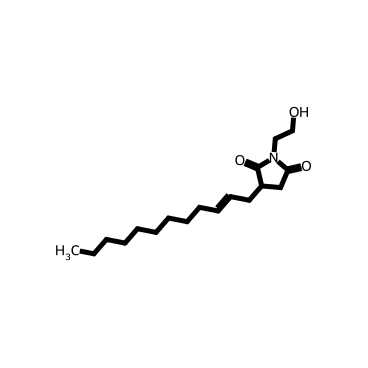 CCCCCCCCCC=CCC1CC(=O)N(CCO)C1=O